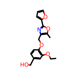 CCOc1cc(CO)ccc1OCc1nc(-c2ccco2)oc1C